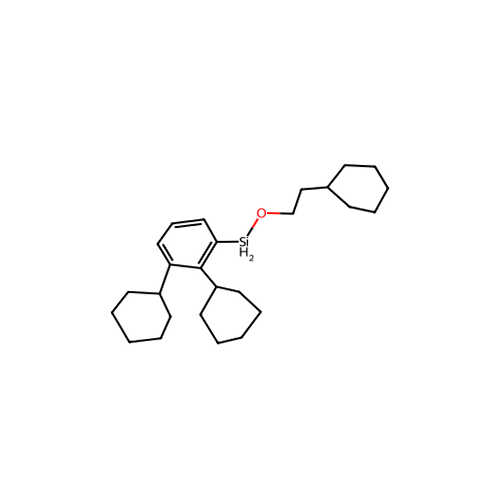 c1cc([SiH2]OCCC2CCCCC2)c(C2CCCCC2)c(C2CCCCC2)c1